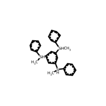 C[SiH](c1ccccc1)c1cc([SiH](C)c2ccccc2)cc([SiH](C)c2ccccc2)c1